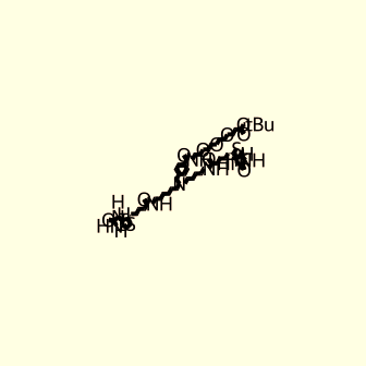 CC(C)(C)OC(=O)CCOCCOCCOCCNC(=O)c1ccc(CN(CCCCCCNC(=O)CCCC[C@@H]2SC[C@@H]3NC(=O)N[C@@H]32)CCCCCCNC(=O)CCCC[C@@H]2SC[C@@H]3NC(=O)N[C@@H]32)cc1